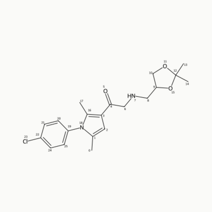 Cc1cc(C(=O)CNCC2COC(C)(C)O2)c(C)n1-c1ccc(Cl)cc1